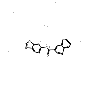 O=C(Nc1ccc2n[c]sc2c1)c1ccc2ccccc2c1